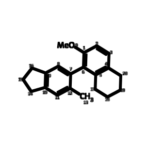 COc1ccc2c(c1-c1cc3c(cc1C)CCC3)CCCC2